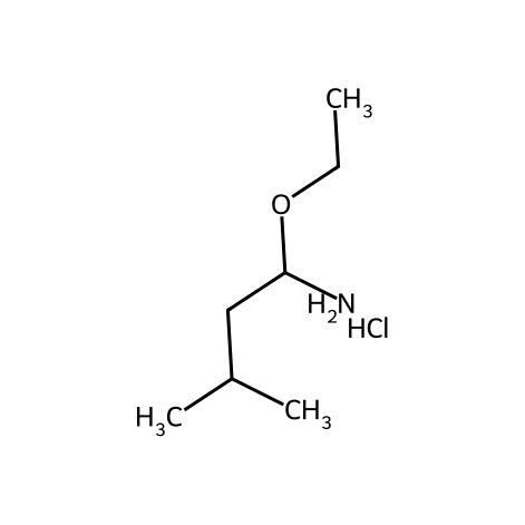 CCOC(N)CC(C)C.Cl